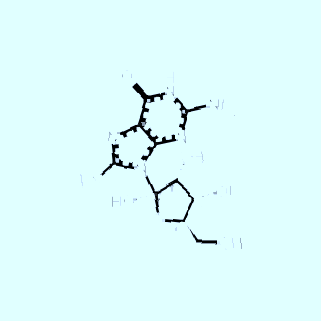 Nc1nc2c(nc(S)n2[C@]2(O)O[C@H](CO)[C@@H](O)[C@H]2O)c(=O)[nH]1